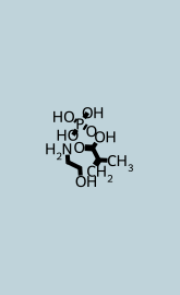 C=C(C)C(=O)O.NCCO.O=P(O)(O)O